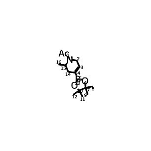 CC(=O)N1CC=C(B2OC(C)(C)C(C)(C)O2)CC1C